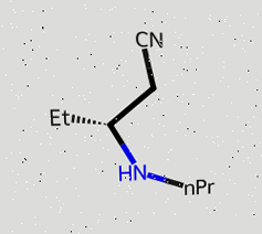 CCCN[C@H](CC)CC#N